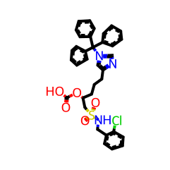 O=C(O)OC(CCCc1cn(C(c2ccccc2)(c2ccccc2)c2ccccc2)cn1)CS(=O)(=O)NCc1ccccc1Cl